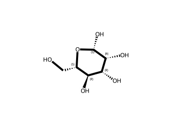 OC[C@@H]1O[C@H](O)[C@H](O)[C@H](O)[C@H]1O